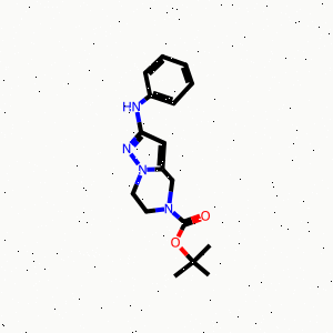 CC(C)(C)OC(=O)N1CCn2nc(Nc3ccccc3)cc2C1